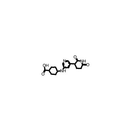 O=C1CCC(c2cncc(NC3CCC(C(=O)O)CC3)c2)C(=O)N1